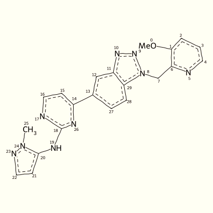 COc1cccnc1Cn1nnc2cc(-c3ccnc(Nc4ccnn4C)n3)ccc21